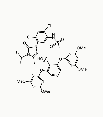 COc1cc(OC)nc(Oc2cccc(Oc3nc(OC)cc(OC)n3)c2C(=O)O)n1.Cc1nn(-c2cc(NS(C)(=O)=O)c(Cl)cc2Cl)c(=O)n1C(F)F